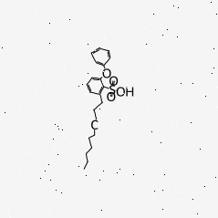 CCCCCCCCCCc1cccc(Oc2ccccc2)c1S(=O)(=O)O